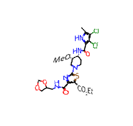 CCOC(=O)c1sc(N2CC[C@@H](NC(=O)c3[nH]c(C)c(Cl)c3Cl)[C@@H](OC)C2)nc1C(=O)NCC1COCO1